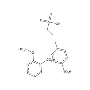 CCS(=O)(=O)O.Cc1ccc(S(=O)(=O)O)cc1.O=C(O)c1ccccc1OS(=O)(=O)O